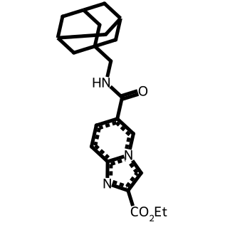 CCOC(=O)c1cn2cc(C(=O)NCC34CC5CC(CC(C5)C3)C4)ccc2n1